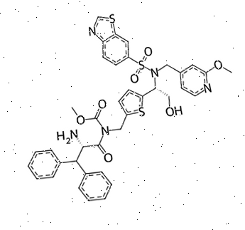 COC(=O)N(Cc1ccc([C@@H](CO)N(Cc2ccnc(OC)c2)S(=O)(=O)c2ccc3ncsc3c2)s1)C(=O)[C@@H](N)C(c1ccccc1)c1ccccc1